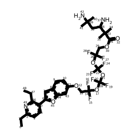 CCc1ccc(-c2cc3ccc(OCC(F)(F)OC(F)(F)OC(F)(F)OC(F)(F)COC(=O)C(C)(C)C(N)CC(C)(C)N)cc3o2)c(CC)n1